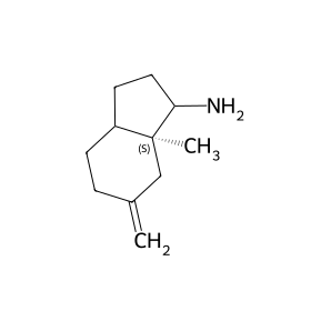 C=C1CCC2CCC(N)[C@@]2(C)C1